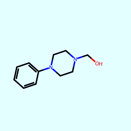 OCN1CCN(c2ccccc2)CC1